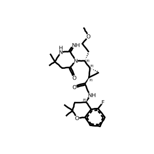 COCC[C@H]([C@@H]1C[C@H]1C(=O)N[C@@H]1CC(C)(C)Oc2cccc(F)c21)N1C(=N)NC(C)(C)CC1=O